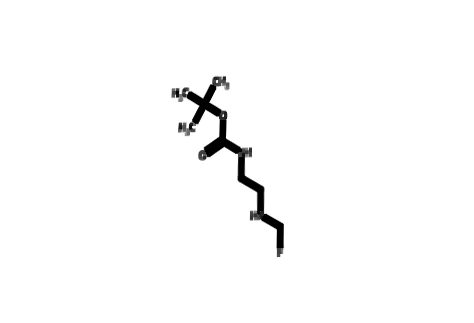 CC(C)(C)OC(=O)NCCNCF